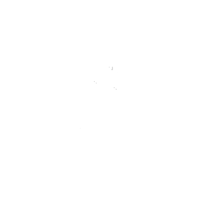 CN=C(N)Nc1ccc(C(F)(F)F)cc1C